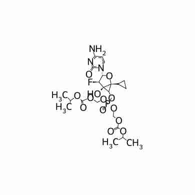 CC(C)OC(=O)OCOP(=O)(OCOC(=O)OC(C)C)OC1[C@@]2(C3CC3)O[C@@H](n3ccc(N)nc3=O)[C@H](F)[C@@]12O